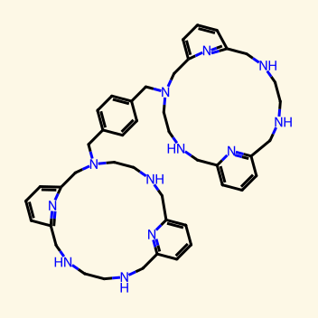 c1cc2nc(c1)CNCCN(Cc1ccc(CN3CCNCc4cccc(n4)CNCCNCc4cccc(n4)C3)cc1)Cc1cccc(n1)CNCCNC2